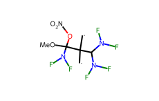 [CH2]C([CH2])([C](N(F)F)N(F)F)C(OC)(O[N+](=O)[O-])N(F)F